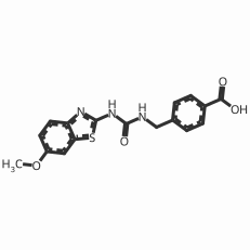 COc1ccc2nc(NC(=O)NCc3ccc(C(=O)O)cc3)sc2c1